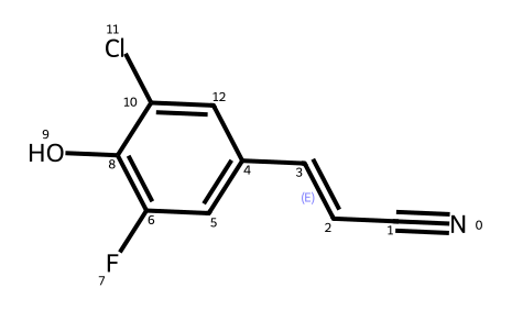 N#C/C=C/c1cc(F)c(O)c(Cl)c1